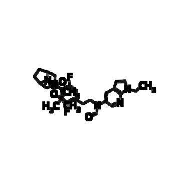 CCn1ccc2cc(N(C=O)CCc3cc(F)c(N4CC5CCC(C4)N5C(=O)OC(C)(C)C)cc3F)cnc21